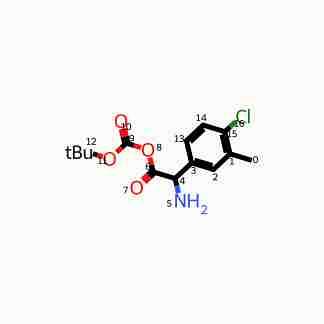 Cc1cc(C(N)C(=O)OC(=O)OC(C)(C)C)ccc1Cl